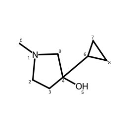 CN1CCC(O)(C2CC2)C1